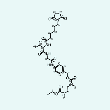 CCOC(=O)N(C)CCN(C)C(=O)OCc1ccc(NC(=O)CNC(=O)C(NC(=O)CCCCCN2C(=O)C=CC2=O)C(C)C)cc1